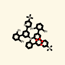 CC(C)c1cccc(C(C)C)c1-c1cc(-c2ccc([Si](C)(C)C)cn2)cc(N(c2cc(-c3ccc([Si](C)(C)C)cn3)cc(-c3c(C(C)C)cccc3C(C)C)c2)c2ccccc2-c2ccccc2)c1